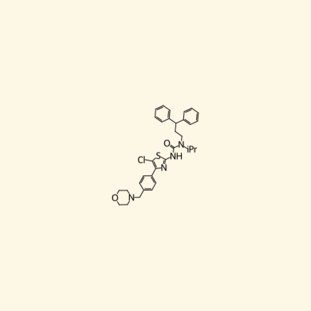 CC(C)N(CCC(c1ccccc1)c1ccccc1)C(=O)Nc1nc(-c2ccc(CN3CCOCC3)cc2)c(Cl)s1